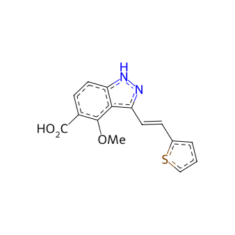 COc1c(C(=O)O)ccc2[nH]nc(/C=C/c3cccs3)c12